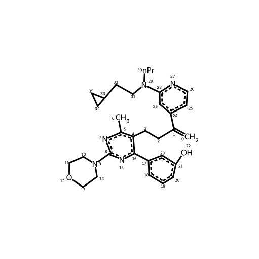 C=C(CCc1c(C)nc(N2CCOCC2)nc1-c1cccc(O)c1)c1ccnc(N(CCC)CCC2CC2)c1